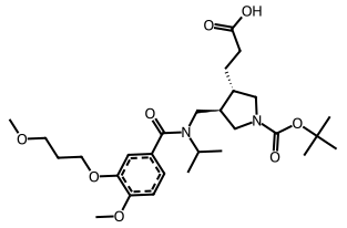 COCCCOc1cc(C(=O)N(C[C@@H]2CN(C(=O)OC(C)(C)C)C[C@H]2CCC(=O)O)C(C)C)ccc1OC